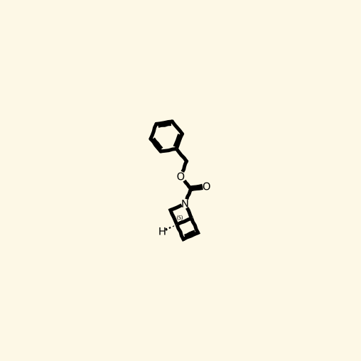 O=C(OCc1ccccc1)N1C[C@@H]2C=CC21